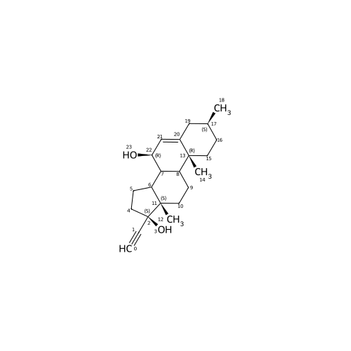 C#C[C@]1(O)CCC2C3C(CC[C@@]21C)[C@@]1(C)CC[C@H](C)CC1=C[C@@H]3O